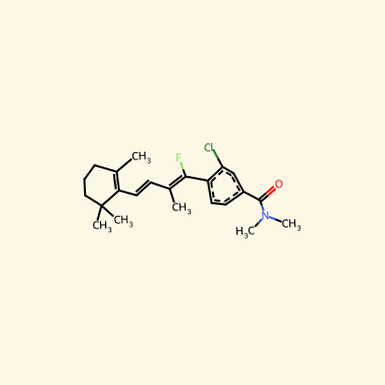 CC1=C(/C=C/C(C)=C(\F)c2ccc(C(=O)N(C)C)cc2Cl)C(C)(C)CCC1